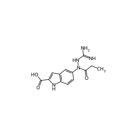 CCC(=O)N(NC(=N)N)c1ccc2[nH]c(C(=O)O)cc2c1